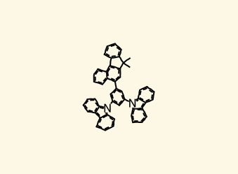 CC1(C)c2ccccc2-c2c1cc(-c1cc(-n3c4ccccc4c4ccccc43)cc(-n3c4ccccc4c4ccccc43)c1)c1ccccc21